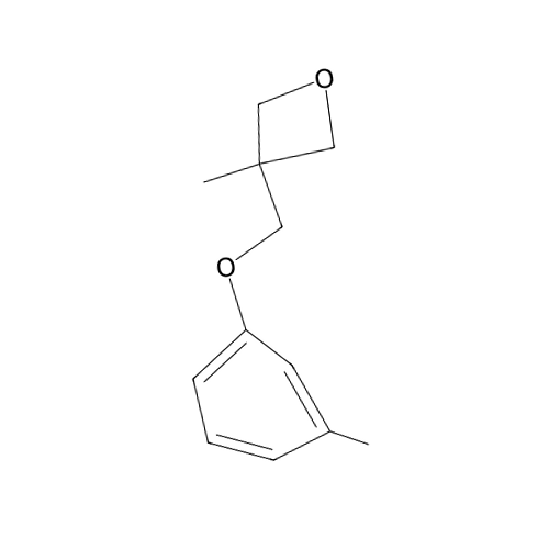 Cc1cccc(OCC2(C)COC2)c1